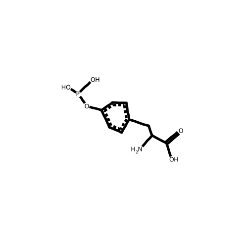 NC(Cc1ccc(OP(O)O)cc1)C(=O)O